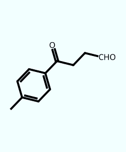 Cc1ccc(C(=O)CCC=O)cc1